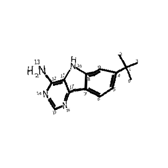 CC(C)(C)c1ccc2c(c1)[nH]c1c(N)ncnc12